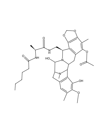 CCCCCC(=O)N[C@@H](C)C(=O)NC[C@H]1c2c(c(OC(C)=O)c(C)c3c2OCO3)CC2C3c4c(cc(C)c(OC)c4O)CC(C(O)N21)N3C